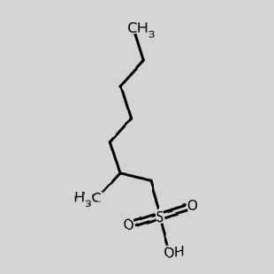 CCCCCC(C)CS(=O)(=O)O